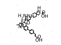 Cc1ccn(-c2ccc(-c3ccc(/C=C/C(=O)O)cc3)cc2[C@@H](Oc2cc(N3CCC4(CC3)CN[C@H](C(=O)O)C4)nc(N)n2)C(F)(F)F)n1